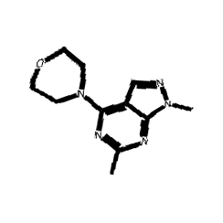 Cc1nc(N2CCOCC2)c2cnn(C)c2n1